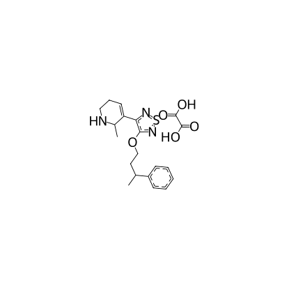 CC1NCCC=C1c1nsnc1OCCC(C)c1ccccc1.O=C(O)C(=O)O